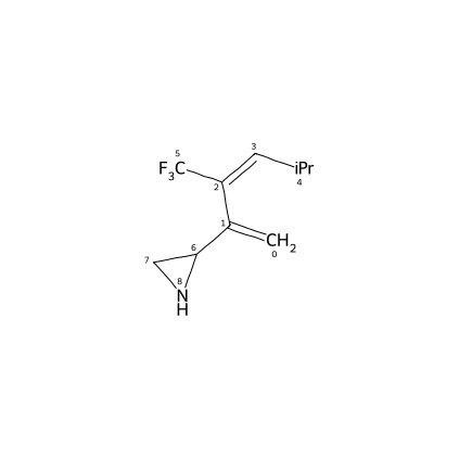 C=C(/C(=C\C(C)C)C(F)(F)F)C1CN1